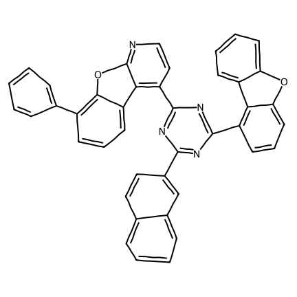 c1ccc(-c2cccc3c2oc2nccc(-c4nc(-c5ccc6ccccc6c5)nc(-c5cccc6oc7ccccc7c56)n4)c23)cc1